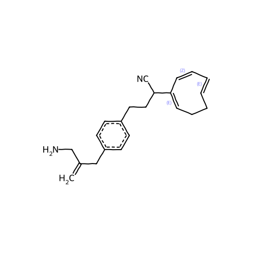 C=C(CN)Cc1ccc(CCC(C#N)C2=C/CC/C=C/C=C\2)cc1